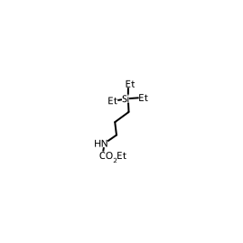 CCOC(=O)NCCC[Si](CC)(CC)CC